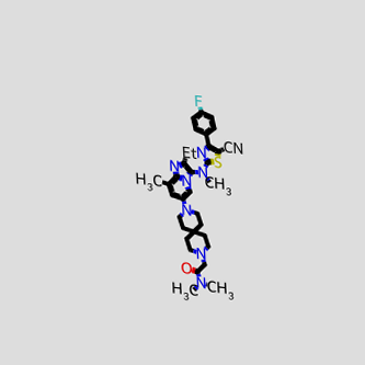 CCc1nc2c(C)cc(N3CCC4(CCN(CC(=O)N(C)C)CC4)CC3)cn2c1N(C)c1nc(-c2ccc(F)cc2)c(C#N)s1